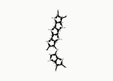 Cc1sc2c(Sc3c(C)sc4c3sc3c4sc4c5sc(C)c(C)c5sc43)csc2c1C